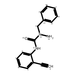 C#Cc1ccccc1NC(=O)N(N)Cc1ccccc1